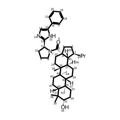 CC(C)[C@@H]1CC[C@]2(C(=O)N3CCC[C@H]3c3ncc(-c4ccccc4)[nH]3)CC[C@]3(C)[C@H](CC[C@@H]4[C@@]5(C)CC[C@H](O)C(C)(C)[C@@H]5CC[C@]43C)[C@@H]12